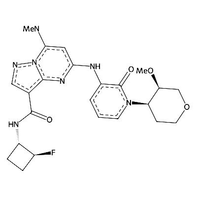 CNc1cc(Nc2cccn([C@@H]3CCOC[C@@H]3OC)c2=O)nc2c(C(=O)N[C@H]3CC[C@@H]3F)cnn12